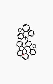 C1#Cc2oc3cccc(N(C4=CC(C5(CC6C=CC=CC6)C6=CC=CCC6c6ccccc65)=C5c6ccccc6OC5C4)c4ccccc4)c3c2C=CC1